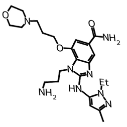 CCn1nc(C)cc1Nc1nc2cc(C(N)=O)cc(OCCCN3CCOCC3)c2n1CCCN